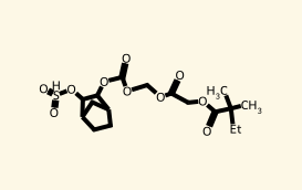 CCC(C)(C)C(=O)OCC(=O)OCOC(=O)OC1C2CCC(C2)C1O[SH](=O)=O